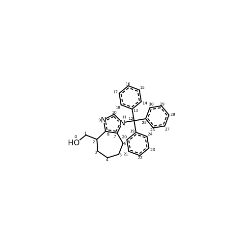 OCC1CCCCc2c1ncn2C(c1ccccc1)(c1ccccc1)c1ccccc1